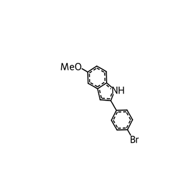 COc1ccc2[nH]c(-c3ccc(Br)cc3)cc2c1